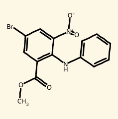 COC(=O)c1cc(Br)cc([N+](=O)[O-])c1Nc1ccccc1